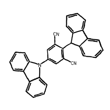 N#Cc1cc(-n2c3ccccc3c3ccccc32)cc(C#N)c1C1c2ccccc2-c2ccccc21